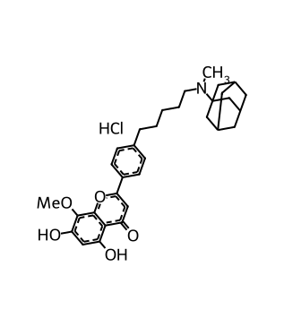 COc1c(O)cc(O)c2c(=O)cc(-c3ccc(CCCCCN(C)C45CC6CC(CC(C6)C4)C5)cc3)oc12.Cl